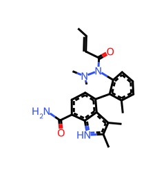 C/C=C/C(=O)N(c1cccc(C)c1-c1ccc(C(N)=O)c2[nH]c(C)c(C)c12)N(C)C